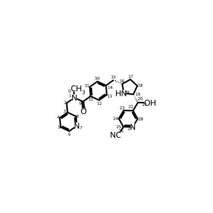 CN(Cc1cccnc1)C(=O)c1ccc(C[C@@H]2CC[C@H](C(O)c3ccc(C#N)nc3)N2)cc1